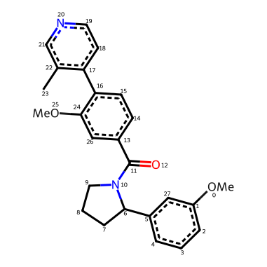 COc1cccc(C2CCCN2C(=O)c2ccc(-c3ccncc3C)c(OC)c2)c1